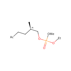 CCOP(=O)(OC)OC[C@H](C)CCC(C)=O